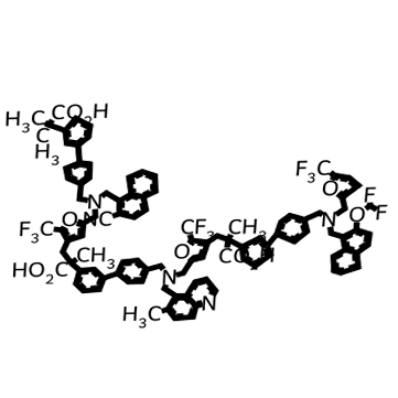 Cc1ccc2ncccc2c1CN(Cc1ccc(-c2cccc(C(C)(Cc3cc(CN(Cc4ccc(-c5cccc(C(C)(C)C(=O)O)c5)cc4)Cc4c(C#N)ccc5ccccc45)oc3C(F)(F)F)C(=O)O)c2)cc1)Cc1cc(CC(C)(C(=O)O)c2cccc(-c3ccc(CN(Cc4ccc(C(F)(F)F)o4)Cc4c(OC(F)F)ccc5ccccc45)cc3)c2)c(C(F)(F)F)o1